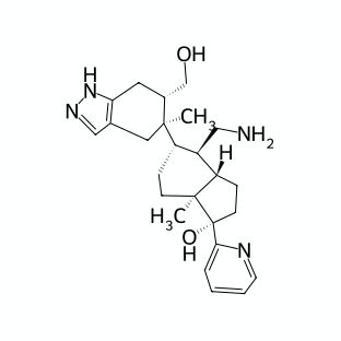 C[C@]1([C@H]2CC[C@@]3(C)[C@@H](CC[C@@]3(O)c3ccccn3)[C@@H]2CN)Cc2cn[nH]c2C[C@@H]1CO